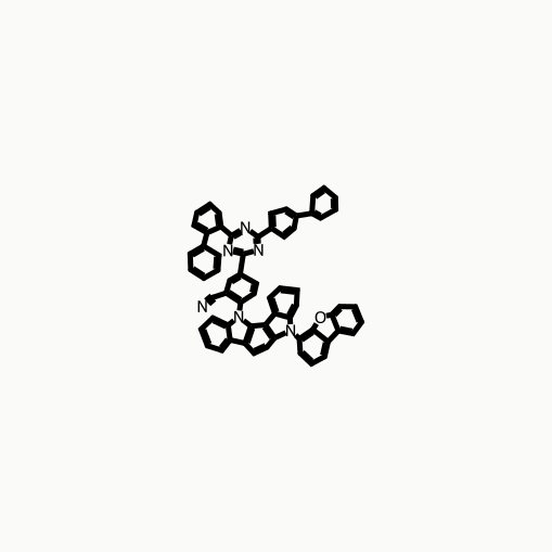 N#Cc1cc(-c2nc(-c3ccc(-c4ccccc4)cc3)nc(-c3ccccc3-c3ccccc3)n2)ccc1-n1c2ccccc2c2ccc3c(c4ccccc4n3-c3cccc4c3oc3ccccc34)c21